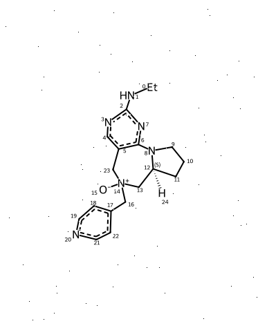 CCNc1ncc2c(n1)N1CCC[C@H]1C[N+]([O-])(Cc1ccncc1)C2